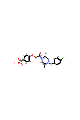 C[C@@H]1CN(Cc2ccc(F)cc2)[C@@H](C)CN1C(=O)COc1ccc(S(=O)(=O)O)cc1